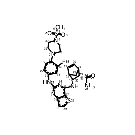 CS(=O)(=O)N1CCN(c2ccc(Nc3nc(N[C@H]4C5C=CC(C5)[C@@H]4C(N)=O)c4sccc4n3)cc2F)CC1